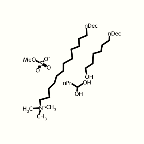 CCCC(O)O.CCCCCCCCCCCCCCCCCCCCCC[N+](C)(C)C.CCCCCCCCCCCCCCCCO.COS(=O)(=O)[O-]